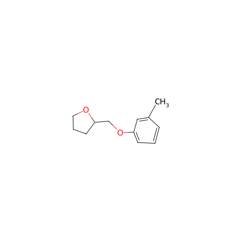 Cc1cccc(OCC2CCCO2)c1